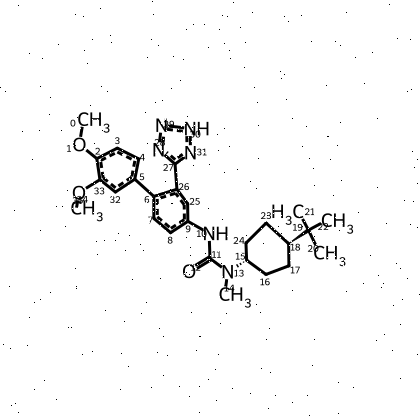 COc1ccc(-c2ccc(NC(=O)N(C)[C@H]3CC[C@H](C(C)(C)C)CC3)cc2-c2nn[nH]n2)cc1OC